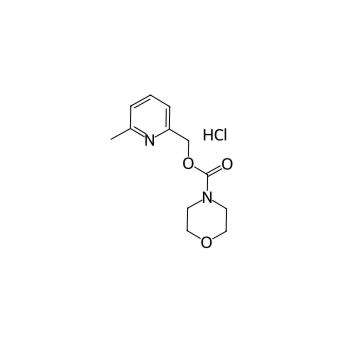 Cc1cccc(COC(=O)N2CCOCC2)n1.Cl